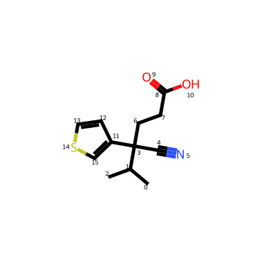 CC(C)C(C#N)(CCC(=O)O)c1ccsc1